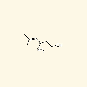 CC(C)=CN(N)CCO